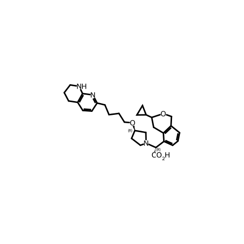 O=C(O)[C@@H](c1cccc2c1CC(C1CC1)OC2)N1CC[C@@H](OCCCCc2ccc3c(n2)NCCC3)C1